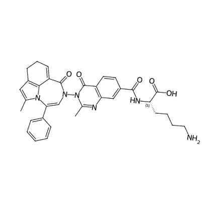 Cc1cc2c3n1C(c1ccccc1)=CN(n1c(C)nc4cc(C(=O)N[C@@H](CCCCN)C(=O)O)ccc4c1=O)C(=O)C3=CCC2